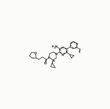 C=Cc1cc(-c2cc(N)c(N3CCN(C(=O)CCC4CCCO4)[C@H](C4CC4)C3)nc2C2CC2)ccn1